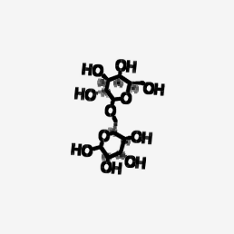 OC[C@H]1OC(OC[C@H]2OC(O)[C@H](O)[C@@H](O)[C@@H]2O)[C@H](O)[C@@H](O)[C@H]1O